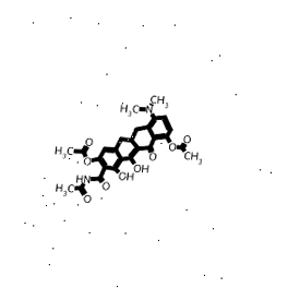 CC(=O)NC(=O)c1c(OC(C)=O)cc2c(c1O)C(O)=C1C(=O)c3c(OC(C)=O)ccc(N(C)C)c3CC1C2